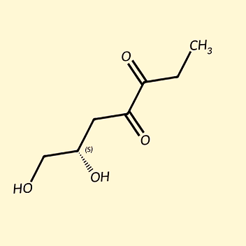 CCC(=O)C(=O)C[C@H](O)CO